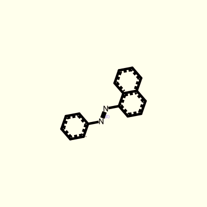 [c]1ccccc1/N=N/c1cccc2ccccc12